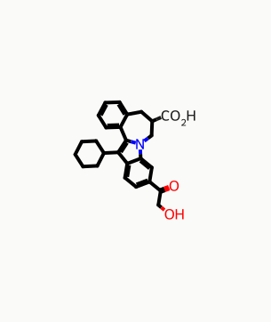 O=C(CO)c1ccc2c(C3CCCCC3)c3n(c2c1)CC(C(=O)O)Cc1ccccc1-3